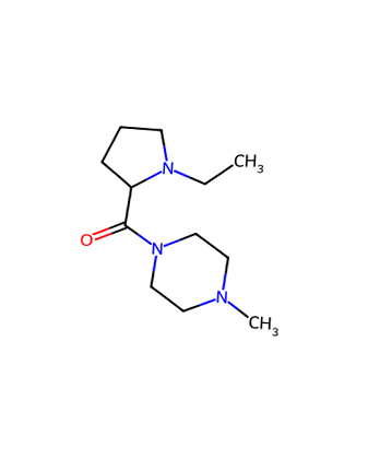 CCN1CCCC1C(=O)N1CCN(C)CC1